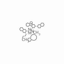 C/C=C\C=C/c1cc2ccccc2cc1-c1nc(-c2cc3ccccc3cccccc2C)nc(-c2cc(-c3ccc4ccccc4c3)cc3oc4ccccc4c23)n1